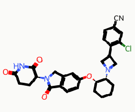 N#Cc1ccc(C2CN([C@@H]3CCCC[C@@H]3Oc3ccc4c(c3)CN([C@H]3CCC(=O)NC3=O)C4=O)C2)c(Cl)c1